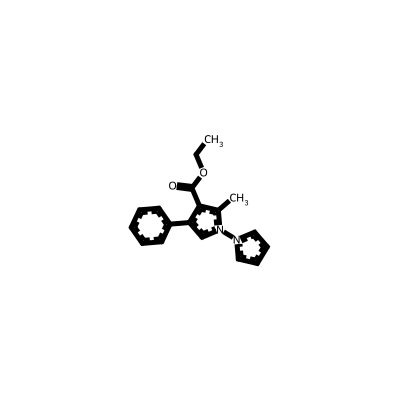 CCOC(=O)c1c(-c2ccccc2)cn(-n2cccc2)c1C